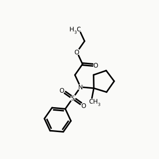 CCOC(=O)CN(C1(C)CCCC1)S(=O)(=O)c1ccccc1